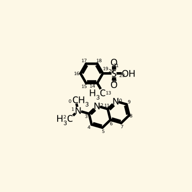 CN(C)c1ccc2cccnc2n1.Cc1ccccc1S(=O)(=O)O